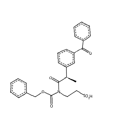 C[C@@H](C(=O)N(CCS(=O)(=O)O)C(=O)OCc1ccccc1)c1cccc(C(=O)c2ccccc2)c1